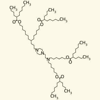 CCCCCCC(CCCC)C(=O)OCCCCCCCC(CCCCCCOC(=O)C(CCCC)CCCCCC)CCCN1CCN(CCN(CCCCCCOC(=O)C(CCCC)CCCCCC)CCCCCCOC(=O)C(CCCC)CCCCCC)CC1